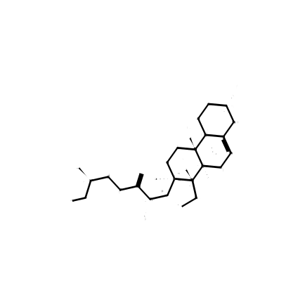 C[C@H](CO)CCC(=O)[C@@H](C)[C@H]1CC[C@H]2[C@@H]3CC=C4C[C@@H](O)CC[C@]4(C)[C@H]3CC[C@]12C